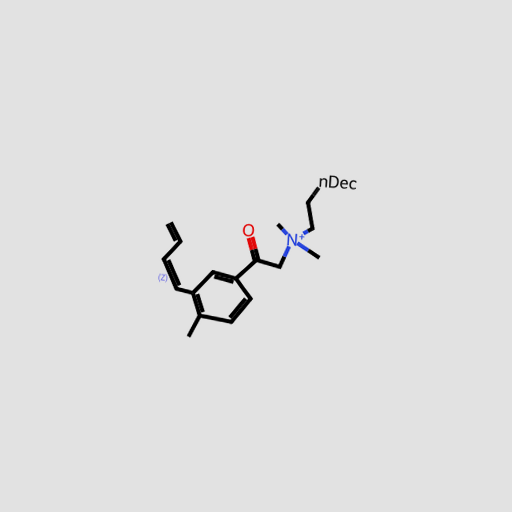 C=C/C=C\c1cc(C(=O)C[N+](C)(C)CCCCCCCCCCCC)ccc1C